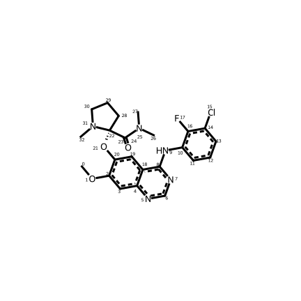 COc1cc2ncnc(Nc3cccc(Cl)c3F)c2cc1O[C@@]1(C(=O)N(C)C)CCCN1C